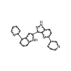 c1ccc(-c2cccc3[nH]c(-c4n[nH]c5ccc(-c6cccnc6)nc45)cc23)nc1